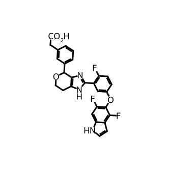 O=C(O)Cc1cccc(C2OCCc3[nH]c(-c4cc(Oc5c(F)cc6[nH]ccc6c5F)ccc4F)nc32)c1